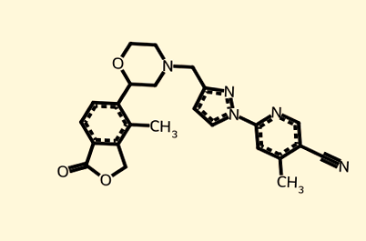 Cc1cc(-n2ccc(CN3CCOC(c4ccc5c(c4C)COC5=O)C3)n2)ncc1C#N